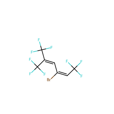 FC(F)(F)/C=C(/Br)C=C(C(F)(F)F)C(F)(F)F